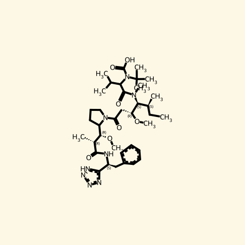 CC[C@H](C)[C@@H]([C@@H](CC(=O)N1CCCC1[C@H](OC)[C@@H](C)C(=O)N[C@@H](Cc1ccccc1)c1nnn[nH]1)OC)N(C)C(=O)C(C(C)C)N(C(=O)O)C(C)(C)C